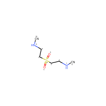 N#CNCCS(=O)(=O)CCNC#N